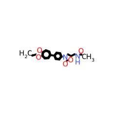 C=CCOc1ccc(-c2ccc(N3CC(CNC(C)=O)OC3=O)cc2)ccc1=O